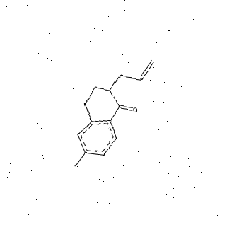 C=CCC1CCc2cc(C)ccc2C1=O